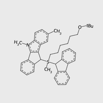 Cc1ccc2c(c1)c1c(n2C)-c2ccccc2C1S(C)(CCCCCCOC(C)(C)C)C1c2ccccc2-c2ccccc21